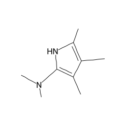 Cc1[nH]c(N(C)C)c(C)c1C